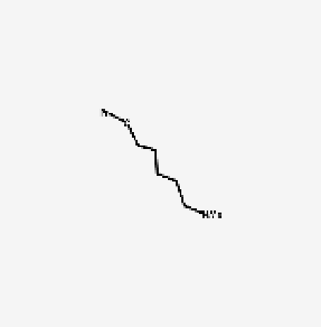 CNCCCCCOC(C)C